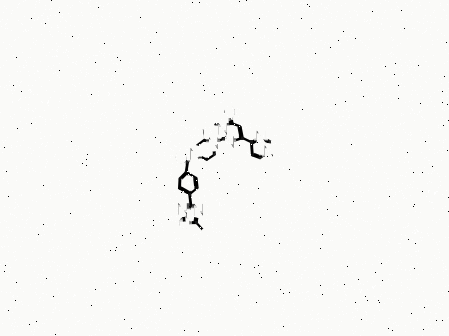 Cc1nc(-c2ccc(C(=O)N3CCN(c4nc(-c5ccncn5)cc(=O)n4C)[C@H](C)C3)cc2)no1